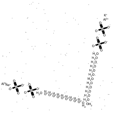 O.O.O.O.O.O.O.O.O.O.O.O.O.O.O.O.O.O.O.O.O.O.O.O.O=S(=O)([O-])[O-].O=S(=O)([O-])[O-].O=S(=O)([O-])[O-].O=S(=O)([O-])[O-].[Al+3].[Al+3].[K+].[Na+]